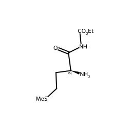 CCOC(=O)NC(=O)[C@@H](N)CCSC